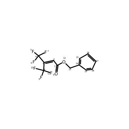 O=C(C=C(C(F)(F)F)C(F)(F)F)OCc1ccccc1